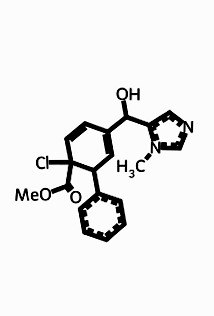 COC(=O)C1(Cl)C=CC(C(O)c2cncn2C)=CC1c1ccccc1